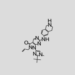 C=CCn1c(=O)c2cnc(Nc3ccc4c(c3)CCNC4)nc2n1-c1cn(C)c(C(C)(C)C)n1